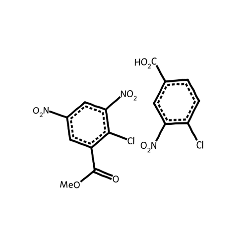 COC(=O)c1cc([N+](=O)[O-])cc([N+](=O)[O-])c1Cl.O=C(O)c1ccc(Cl)c([N+](=O)[O-])c1